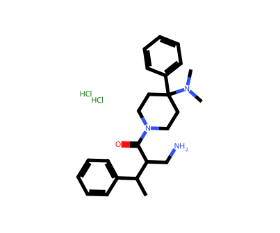 CC(c1ccccc1)C(CN)C(=O)N1CCC(c2ccccc2)(N(C)C)CC1.Cl.Cl